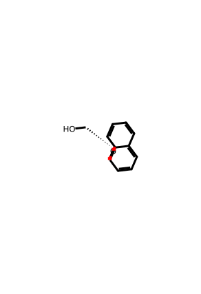 OC[C@H]1CCC2C=CC=C3C=CC=CC32O1